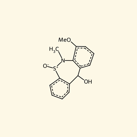 COc1cccc2c1N(C)[S+]([O-])c1ccccc1C2O